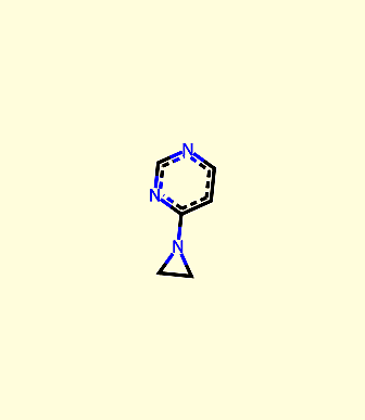 c1cc(N2CC2)ncn1